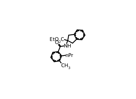 CCCc1c(C)cccc1C(=O)NC1(C(=O)OCC)Cc2ccccc2C1